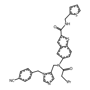 CC(C)CC(=O)N(Cc1cncn1Cc1ccc(C#N)cc1)c1ccc2sc(C(=O)NCc3cccs3)cc2c1